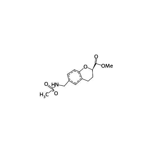 COC(=O)[C@H]1CCc2cc(CNS(C)(=O)=O)ccc2O1